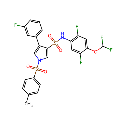 Cc1ccc(S(=O)(=O)n2cc(-c3cccc(F)c3)c(S(=O)(=O)Nc3cc(F)c(OC(F)F)cc3F)c2)cc1